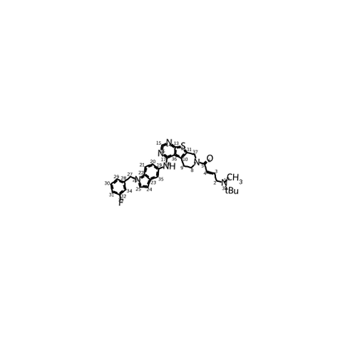 CN(CC=CC(=O)N1CCc2c(sc3ncnc(Nc4ccc5c(ccn5Cc5cccc(F)c5)c4)c23)C1)C(C)(C)C